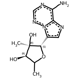 CC1O[C@@H](c2cnc3c(N)ncnn23)[C@](C)(O)[C@@H]1O